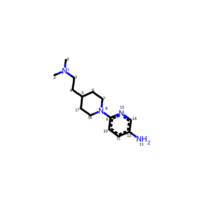 CN(C)CCC1CCN(c2ccc(N)cn2)CC1